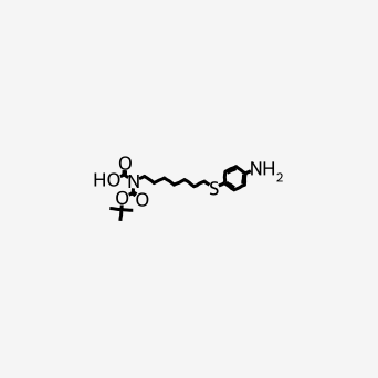 CC(C)(C)OC(=O)N(CCCCCCCSc1ccc(N)cc1)C(=O)O